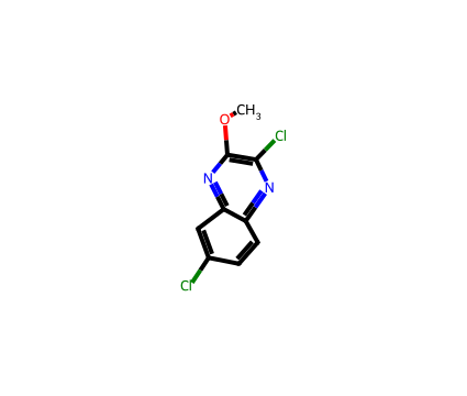 COc1nc2cc(Cl)ccc2nc1Cl